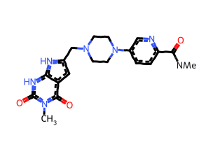 CNC(=O)c1ccc(N2CCN(Cc3cc4c(=O)n(C)c(=O)[nH]c4[nH]3)CC2)cn1